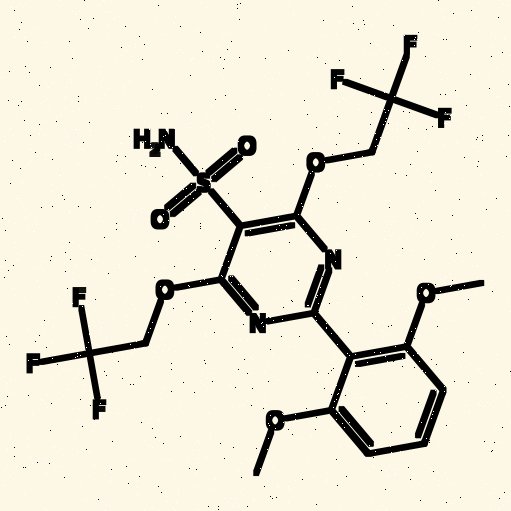 COc1cccc(OC)c1-c1nc(OCC(F)(F)F)c(S(N)(=O)=O)c(OCC(F)(F)F)n1